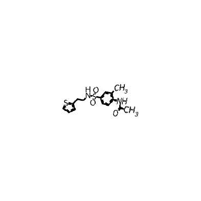 CC(=O)Nc1ccc(S(=O)(=O)NCCc2cccs2)cc1C